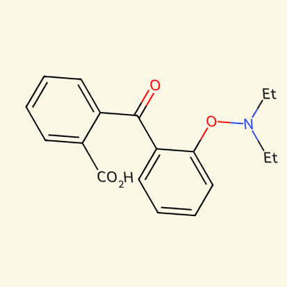 CCN(CC)Oc1ccccc1C(=O)c1ccccc1C(=O)O